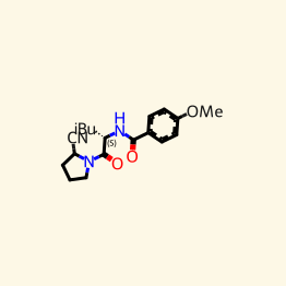 CCC(C)[C@H](NC(=O)c1ccc(OC)cc1)C(=O)N1CCCC1C#N